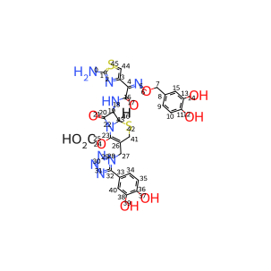 Nc1nc(/C(=N/OCc2ccc(O)c(O)c2)C(=O)N[C@@H]2C(=O)N3C(OC(=O)O)=C(Cn4nnnc4-c4ccc(O)c(O)c4)CS[C@H]23)cs1